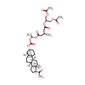 CC(=O)OCC(COC(C)=O)OC(=O)CC(C)CC(=O)OC(C)OC(=O)O[C@@H]1CC[C@@]2(C)[C@@H](CC[C@@H]3[C@@H]2CC[C@]2(C)[C@@H](C(C)=O)CC[C@@H]32)C1